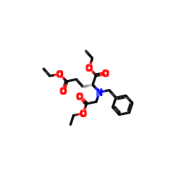 CCOC(=O)CC[C@H](C(=O)OCC)N(CC(=O)OCC)Cc1ccccc1